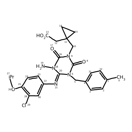 Cc1ccc(Cn2c(=O)n(CC3(CC(=O)O)CC3)c(=O)n(N)/c2=N\c2ccc(OC(C)C)c(Cl)c2)cc1